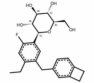 CCc1cc(F)c([C@@H]2O[C@H](CO)[C@@H](O)[C@H](O)[C@H]2O)cc1Cc1ccc2c(c1)CC2